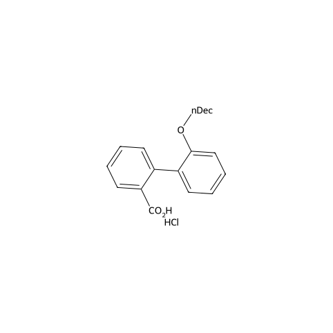 CCCCCCCCCCOc1ccccc1-c1ccccc1C(=O)O.Cl